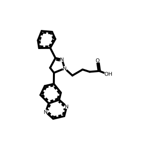 O=C(O)CCCN1N=C(c2ccccc2)CC1c1ccc2nccnc2c1